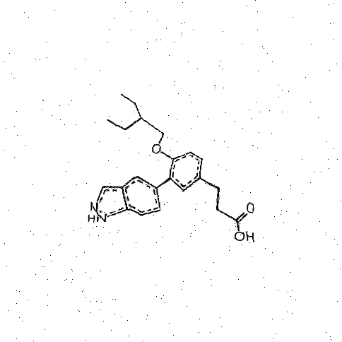 CCC(CC)COc1ccc(CCC(=O)O)cc1-c1ccc2[nH]ncc2c1